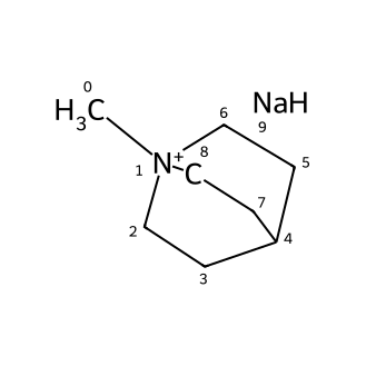 C[N+]12CCC(CC1)CC2.[NaH]